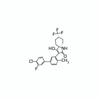 Cc1ccc(-c2ccc(Cl)c(F)c2)cc1C1=C(O)[C@]2(CC[C@@H](C(F)(F)F)CC2)NC1=O